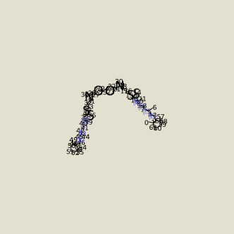 CC1=C(/C=C/C(C)=C/C=C/C(C)=C/C(=S)SCCCN(C)CCOCCOCCN(C)CCCSC(=S)/C=C(C)/C=C/C=C(C)/C=C/C2=C(C)CCCC2(C)C)C(C)(C)CCC1